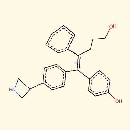 OCCC/C(=C(\c1ccc(O)cc1)c1ccc(C2CNC2)cc1)c1ccccc1